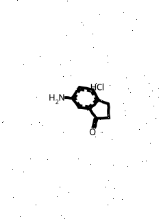 Cl.Nc1ccc2c(c1)C(=O)CC2